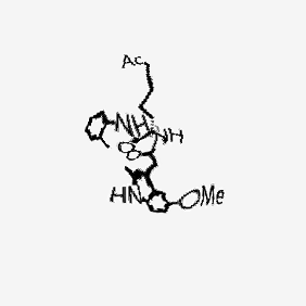 COc1ccc2[nH]c(C)c(CC(=O)N[C@@H](CCCCCC(C)=O)C(=O)Nc3ccccc3C)c2c1